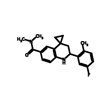 Cc1ccc(F)cc1C1CC2(CC2)c2cc(C(=O)N(C)C)ccc2N1